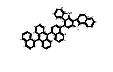 c1ccc2c(-c3c4ccccc4c(-c4ccc(-c5cc6oc7c8ccccc8ccc7c6c6oc7ccccc7c56)c5ccccc45)c4ccccc34)cccc2c1